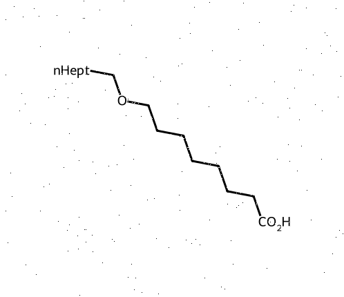 CCCCCCCCOCCCCCCCC(=O)O